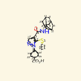 CCSc1c(C(=O)NC2C3CC4CC(C3)CC2C4)cnn1-c1ccc(C(=O)O)cc1